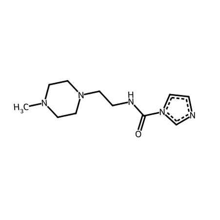 CN1CCN(CCNC(=O)n2ccnc2)CC1